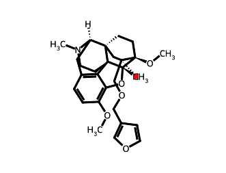 COc1ccc2c3c1O[C@H]1[C@@]4(OC)CC[C@@]5(C[C@]4(C)COCc4ccoc4)[C@@H](C2)N(C)CC[C@]315